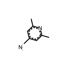 Cc1cc(C)nc(C)c1.[N]